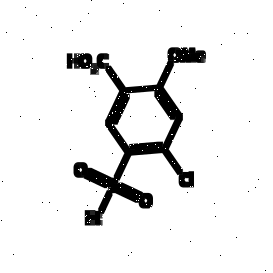 CCS(=O)(=O)c1cc(C(=O)O)c(OC)cc1Cl